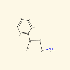 CC(=O)C(CCN)c1ccccc1